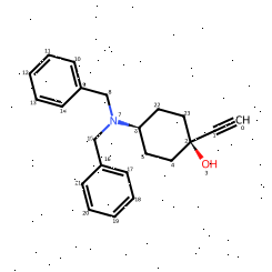 C#C[C@]1(O)CC[C@@H](N(Cc2ccccc2)Cc2ccccc2)CC1